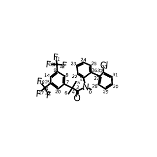 CN(C(=O)C(C)(C)c1cc(C(F)(F)F)cc(C(F)(F)F)c1)c1ccccc1-c1ccccc1Cl